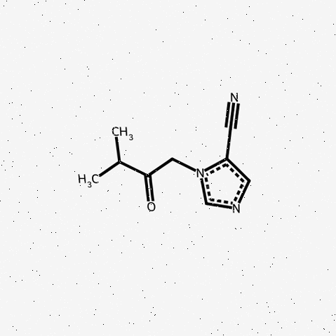 CC(C)C(=O)Cn1cncc1C#N